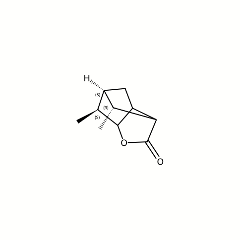 C[C@@H]1C2OC(=O)C3C2C[C@H]1[C@H]3C